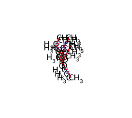 CC(C)=CCC/C(C)=C/CC/C(C)=C/COC(=O)CCN(CCCN(C)CCCN(CCC(=O)OC/C=C(\C)CC/C=C(\C)CCC=C(C)C)CCC(=O)OC/C=C(\C)CC/C=C(\C)CCC=C(C)C)CCC(=O)OC/C=C(\C)CC/C=C(\C)CCC=C(C)C